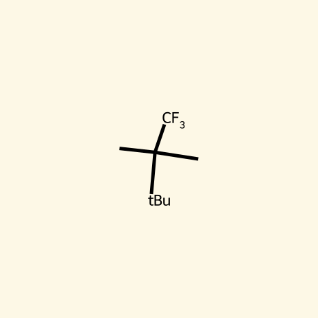 CC(C)(C)C(C)(C)C(F)(F)F